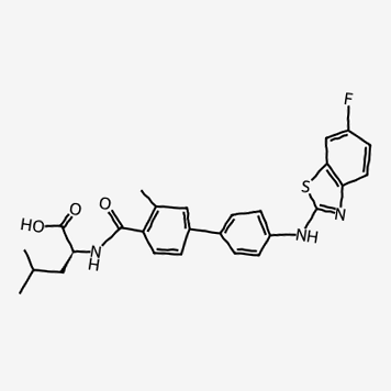 Cc1cc(-c2ccc(Nc3nc4ccc(F)cc4s3)cc2)ccc1C(=O)N[C@@H](CC(C)C)C(=O)O